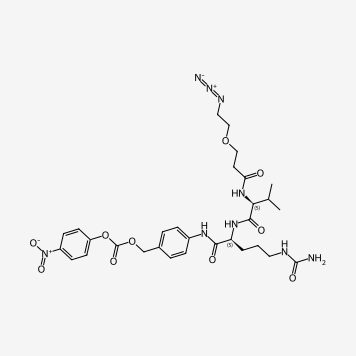 CC(C)[C@H](NC(=O)CCOCCN=[N+]=[N-])C(=O)N[C@@H](CCCNC(N)=O)C(=O)Nc1ccc(COC(=O)Oc2ccc([N+](=O)[O-])cc2)cc1